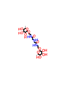 C[C@@H]1O[C@@H](OCCNC(=O)CNCC(=O)NCCO[C@@H]2O[C@@H](C)[C@@H](O)[C@@H](O)[C@@H]2O)[C@@H](O)[C@H](O)[C@@H]1O